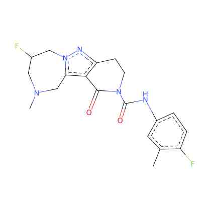 Cc1cc(NC(=O)N2CCc3nn4c(c3C2=O)CN(C)CC(F)C4)ccc1F